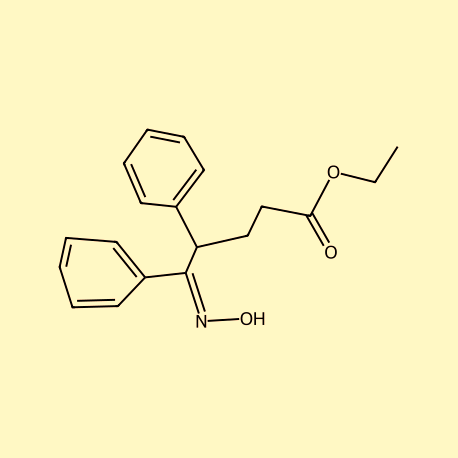 CCOC(=O)CCC(/C(=N\O)c1ccccc1)c1ccccc1